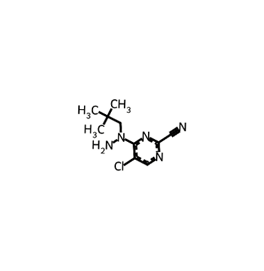 CC(C)(C)CN(N)c1nc(C#N)ncc1Cl